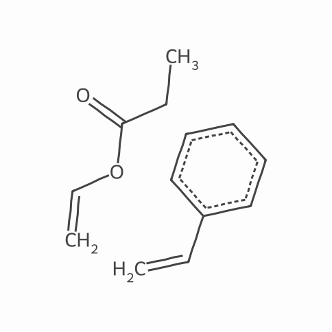 C=COC(=O)CC.C=Cc1ccccc1